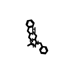 CC1=NN(Cc2ccccc2)C2CNC(Cc3ccccc3)CN12